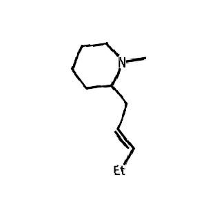 CCC=CCC1CCCCN1C